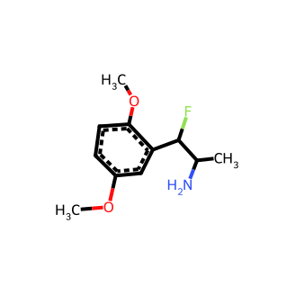 COc1ccc(OC)c(C(F)C(C)N)c1